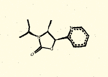 CC(C)N1C(=O)O[C@H](c2ccccn2)[C@@H]1C